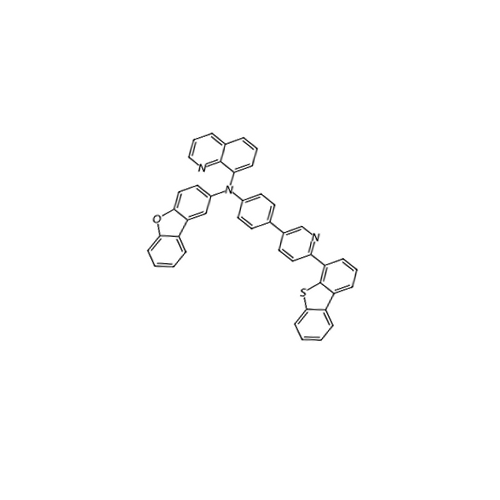 c1cnc2c(N(c3ccc(-c4ccc(-c5cccc6c5sc5ccccc56)nc4)cc3)c3ccc4oc5ccccc5c4c3)cccc2c1